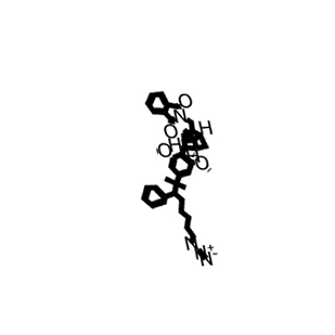 COc1cc(C(C)(C)C(CCCCCN=[N+]=[N-])c2ccccc2)cc(OC)c1[C@H]1C=C(CN2C(=O)c3ccccc3C2=O)[C@H]2C[C@@H]1C2(C)C